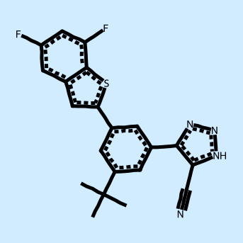 CC(C)(C)c1cc(-c2cc3cc(F)cc(F)c3s2)cc(-c2nn[nH]c2C#N)c1